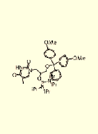 COc1ccc(C(OC[C@H](Cn2cc(C)c(=O)[nH]c2=O)OP(N(C(C)C)C(C)C)N(C(C)C)C(C)C)(c2ccccc2)c2ccc(OC)cc2)cc1